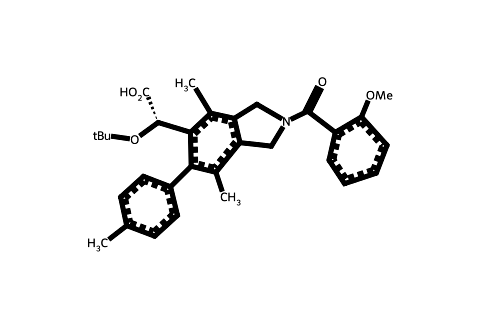 COc1ccccc1C(=O)N1Cc2c(C)c(-c3ccc(C)cc3)c([C@H](OC(C)(C)C)C(=O)O)c(C)c2C1